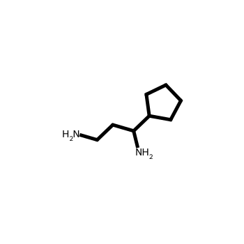 NCCC(N)C1CCCC1